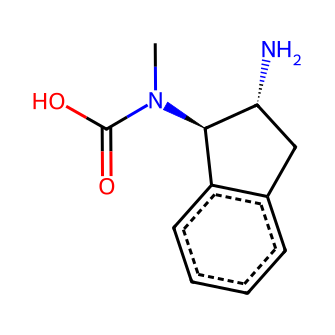 CN(C(=O)O)[C@@H]1c2ccccc2C[C@H]1N